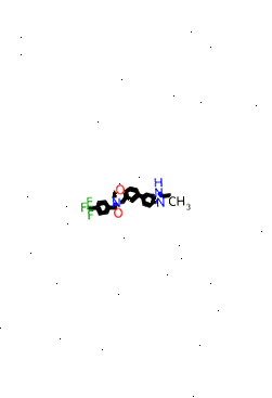 CCc1nc2ccc(-c3ccc4c(c3)CN(C(=O)c3ccc(C(F)(F)F)cc3)CCO4)cc2[nH]1